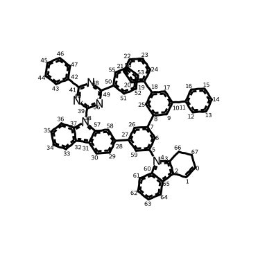 C1=Cc2c(n(-c3cc(-c4cc(-c5ccccc5)cc(-c5ccccc5)c4)cc(-c4ccc5c6ccccc6n(-c6nc(-c7ccccc7)nc(-c7ccccc7)n6)c5c4)c3)c3ccccc23)CC1